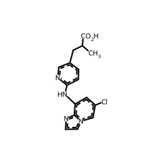 CC(Cc1ccc(Nc2cc(Cl)cn3ccnc23)nc1)C(=O)O